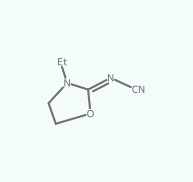 CCN1CCO/C1=N\C#N